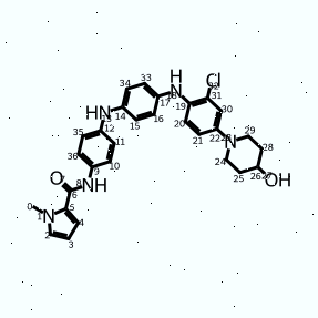 Cn1cccc1C(=O)Nc1ccc(Nc2ccc(Nc3ccc(N4CCC(O)CC4)cc3Cl)cc2)cc1